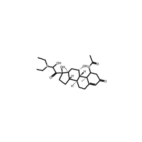 CCN(CC)C(O)C(=O)[C@@]1(O)CC[C@H]2[C@@H]3CCC4=CC(=O)CC(OC(C)=O)[C@]4(C)[C@H]3[C@@H](O)C[C@@]21C